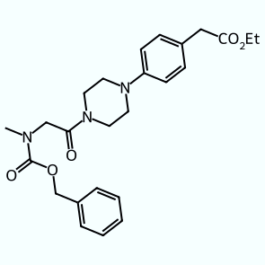 CCOC(=O)Cc1ccc(N2CCN(C(=O)CN(C)C(=O)OCc3ccccc3)CC2)cc1